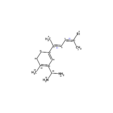 CC/C(C)=C/C=C(\C)C1=CC(C(N)N)=C(C)CC1